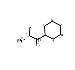 CC(C)[C@H](C)NC1CCCCC1